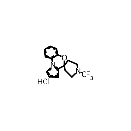 Cl.FC(F)(F)N1CCC2(CC1)Oc1ccccc1-n1cccc12